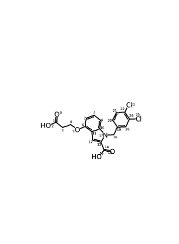 O=C(O)CCOc1cccc2c1cc(C(=O)O)n2Cc1ccc(Cl)c(Cl)c1